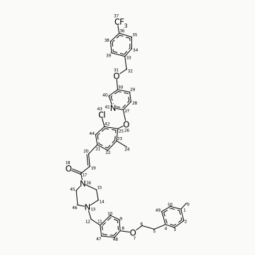 Cc1ccc(CCOc2ccc(CN3CCN(C(=O)C=Cc4cc(C)c(Oc5ccc(OCc6ccc(C(F)(F)F)cc6)cn5)c(Cl)c4)CC3)cc2)cc1